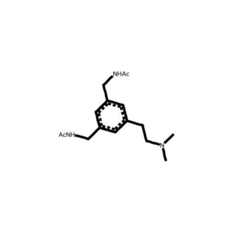 CC(=O)NCc1cc(CCN(C)C)cc(CNC(C)=O)c1